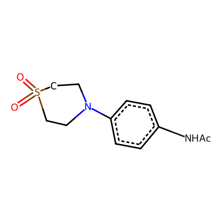 CC(=O)Nc1ccc(N2CCS(=O)(=O)CC2)cc1